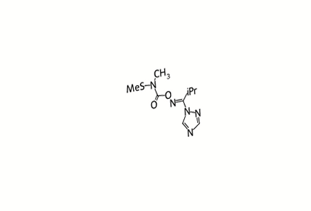 CSN(C)C(=O)ON=C(C(C)C)n1cncn1